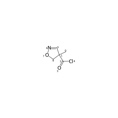 CC1(C(=O)Cl)C=NOC1